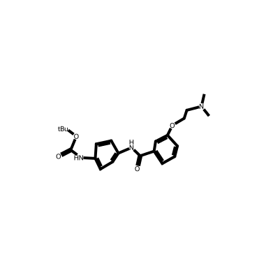 CN(C)CCOc1cccc(C(=O)Nc2ccc(NC(=O)OC(C)(C)C)cc2)c1